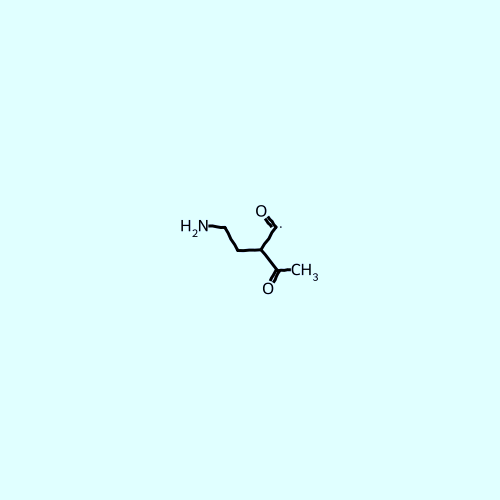 CC(=O)C([C]=O)CCN